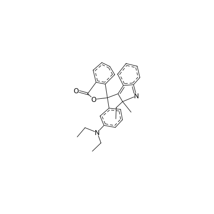 CCN(CC)c1cccc(C2(C3=c4ccccc4=NC3(C)CC)OC(=O)c3ccccc32)c1